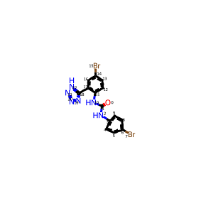 O=C(Nc1ccc(Br)cc1)Nc1ccc(Br)cc1-c1nnn[nH]1